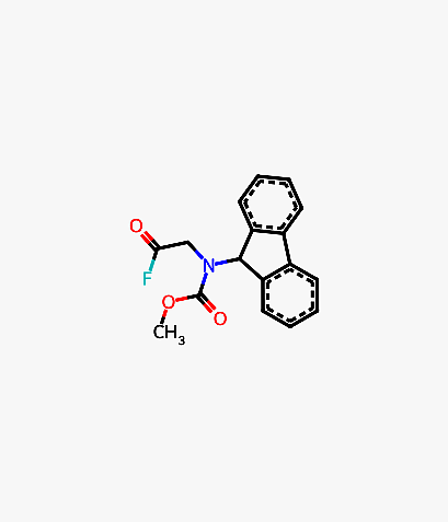 COC(=O)N(CC(=O)F)C1c2ccccc2-c2ccccc21